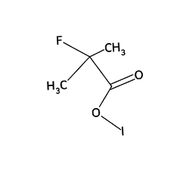 CC(C)(F)C(=O)OI